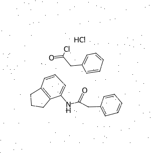 Cl.O=C(Cc1ccccc1)Nc1cccc2c1CCC2.O=C(Cl)Cc1ccccc1